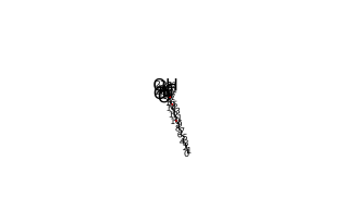 CCCCCCCCCCCCCCCCCCC(=O)N1CCC[C@H]1C(=O)O